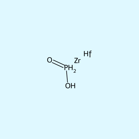 O=[PH2]O.[Hf].[Zr]